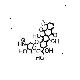 COc1cccc2c1C(=O)c1c(O)c3c(c(O)c1C2=O)C[C@@](O)(C(=O)CO)C[C@@H]3OC1CC(N[O])C(O)C(C)O1